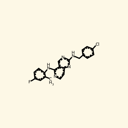 Cc1cc(F)ccc1Nc1nccc2nc(NCc3ccc(Cl)cc3)ncc12